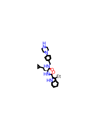 CCc1c(C(=O)N[C@@H](CCC2CC2)C(=O)NCc2ccc(N3CCNCC3)cc2)[nH]c2ccccc12